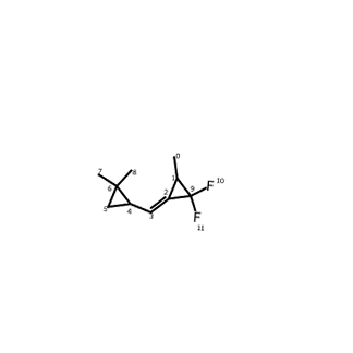 CC1C(=CC2CC2(C)C)C1(F)F